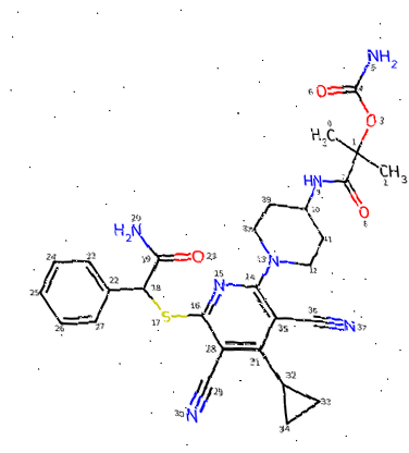 CC(C)(OC(N)=O)C(=O)NC1CCN(c2nc(SC(C(N)=O)c3ccccc3)c(C#N)c(C3CC3)c2C#N)CC1